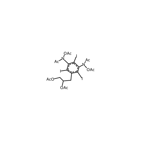 CC(=O)OCC(Cc1c(I)c(N(OC(C)=O)C(C)=O)c(I)c(N(OC(C)=O)C(C)=O)c1I)OC(C)=O